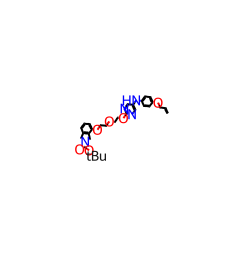 C=CCOc1ccc(Nc2cnc(OCCOCCOc3cccc4c3CN(C(=O)OC(C)(C)C)C4)nc2)cc1